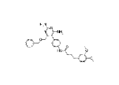 COc1ccc(CCCC(=O)Nc2ccc(-c3c(N)nc(N)nc3COCc3ccccc3)cc2)cc1OC